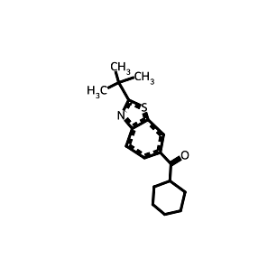 CC(C)(C)c1nc2ccc(C(=O)C3CCCCC3)cc2s1